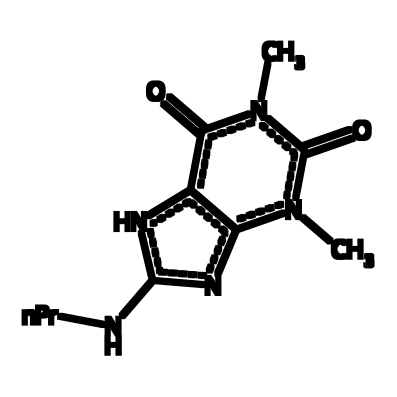 CCCNc1nc2c([nH]1)c(=O)n(C)c(=O)n2C